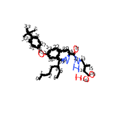 CCCCC(CC)c1nc(C(=O)NCC(C)CC(=O)O)cc2ccc(Oc3ccc(C(C)(C)C)cc3)cc12